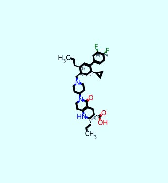 CCC[C@H]1C=C(C2=CC[C@H](F)[C@H](F)C2)[C@@H](C2CC2)C[C@H]1CN1CCC(N2CCC3=C(C[C@H](C(=O)O)[C@H](CCC)N3)C2=O)CC1